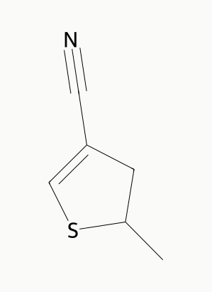 CC1CC(C#N)=CS1